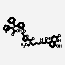 CCN(CCCNCC(O)c1ccc(O)c2[nH]c(=O)ccc12)C(=O)c1ccc(COc2cccc([C@H](c3ccccc3)N(C(=O)O)C3CN4CCC3CC4)c2)o1